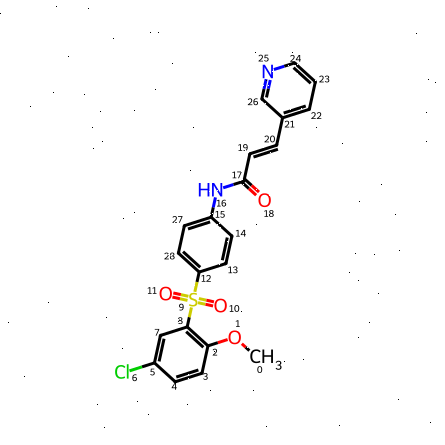 COc1ccc(Cl)cc1S(=O)(=O)c1ccc(NC(=O)/C=C/c2cccnc2)cc1